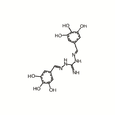 N=C(N/N=C/c1cc(O)c(O)c(O)c1)N/N=C/c1cc(O)c(O)c(O)c1